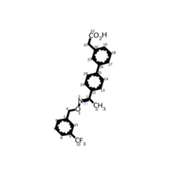 C/C(=N\OCc1cccc(C(F)(F)F)c1)c1ccc(-c2cccc(CC(=O)O)c2)cc1